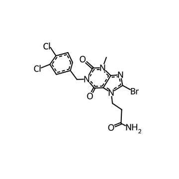 Cn1c(=O)n(Cc2ccc(Cl)c(Cl)c2)c(=O)c2c1nc(Br)n2CCC(N)=O